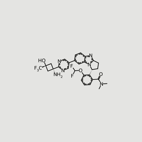 CN(C)C(=O)c1cccc(OC(F)F)c1[C@H]1CCc2nc3ccc(-c4cnc([C@]5(N)C[C@](O)(C(F)(F)F)C5)nc4)cc3n21